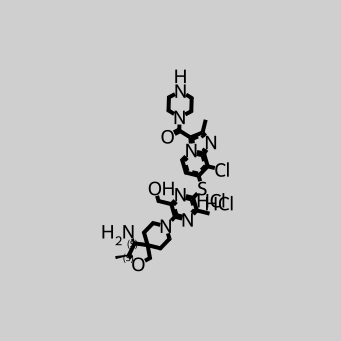 Cc1nc(N2CCC3(CC2)CO[C@@H](C)[C@H]3N)c(CO)nc1Sc1ccn2c(C(=O)N3CCNCC3)c(C)nc2c1Cl.Cl.Cl